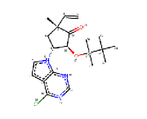 C=C[C@@]1(C)C[C@@H](n2ccc3c(Cl)ncnc32)[C@H](O[Si](C)(C)C(C)(C)C)C1=O